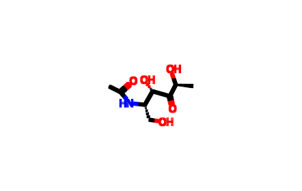 CC(=O)N[C@@H](CO)[C@H](O)C(=O)[C@H](C)O